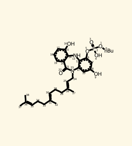 CCCCOP(=O)(O)Oc1cc(O)cc2c1Nc1c(O)cccc1C(=O)N2C/C=C(\C)CC/C=C(\C)CCC=C(C)C